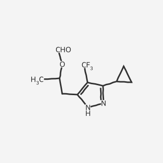 CC(Cc1[nH]nc(C2CC2)c1C(F)(F)F)OC=O